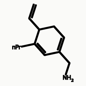 C=CC1CC=C(CN)C=C1CCC